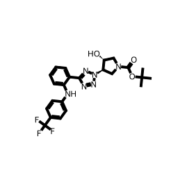 CC(C)(C)OC(=O)N1C[C@@H](O)[C@H](n2nnc(-c3ccccc3Nc3ccc(C(F)(F)F)cc3)n2)C1